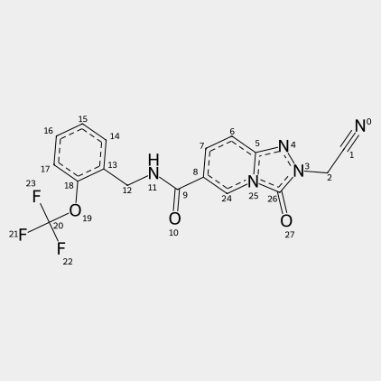 N#CCn1nc2ccc(C(=O)NCc3ccccc3OC(F)(F)F)cn2c1=O